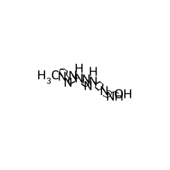 Cc1cccc(-c2nccc(Nc3ccnc(Nc4ccc(N5CCNC(CO)C5)cc4)n3)n2)n1